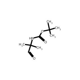 CC(C)([C]=O)NC(=O)OC(C)(C)C